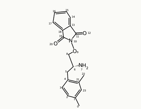 Cc1ccc(C[C@@H](N)CON2C(=O)c3ccccc3C2=O)c(C)c1